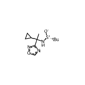 CC(N[S@+]([O-])C(C)(C)C)(c1ncon1)C1CC1